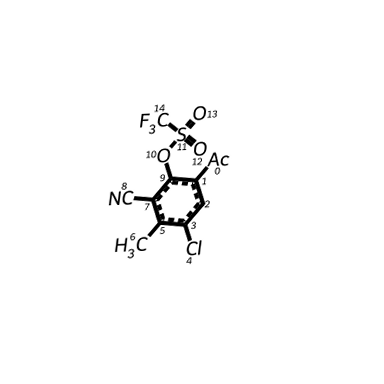 CC(=O)c1cc(Cl)c(C)c(C#N)c1OS(=O)(=O)C(F)(F)F